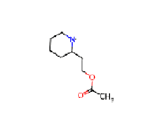 CC(=O)OCCC1CCCC[N]1